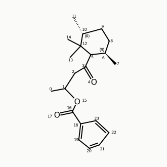 CC(CC(=O)C1[C@H](C)CC[C@@H](C)C1(C)C)OC(=O)c1ccccc1